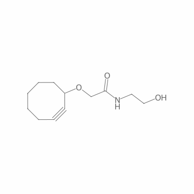 O=C(COC1C#CCCCCC1)NCCO